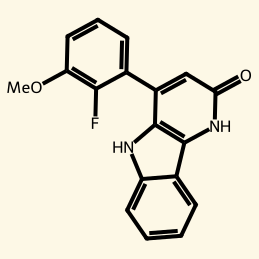 COc1cccc(-c2cc(=O)[nH]c3c2[nH]c2ccccc23)c1F